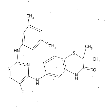 Cc1cc(C)cc(Nc2ncc(F)c(Nc3ccc4c(c3)NC(=O)C(C)(C)S4)n2)c1